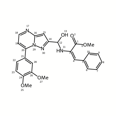 COC(=O)C(=Cc1ccccc1)NC(O)c1cc2nccc(-c3ccc(OC)c(OC)c3)n2n1